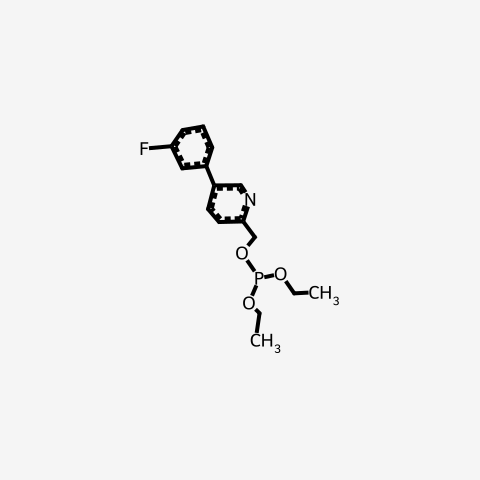 CCOP(OCC)OCc1ccc(-c2cccc(F)c2)cn1